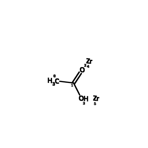 CC(=O)O.[Zr].[Zr]